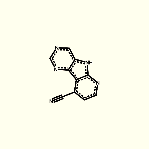 N#Cc1ccnc2[nH]c3cncnc3c12